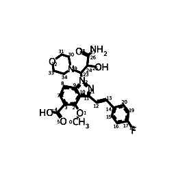 COc1c(C(=O)O)ccc2c1c(C=Cc1ccc(F)cc1)nn2C(C(O)C(N)=O)N1CCOCC1